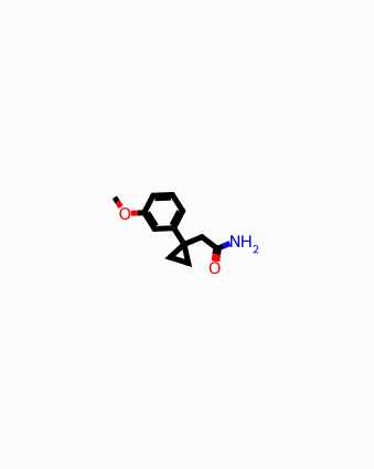 COc1cccc(C2(CC(N)=O)CC2)c1